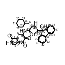 NC(=O)C(=O)[C@@H](C[C@@H]1CCNC1=O)NC(=O)[C@H](CC1CCCCC1)NC(=O)C1(O)c2ccccc2-c2ccccc21